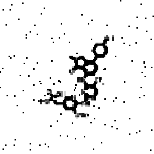 COc1cc(CP(=O)(O)O)cnc1Nc1ncc(C(F)(F)F)c(Nc2ccc(C3CCC(O)CC3)c3c2C(=O)N(C)C3)n1